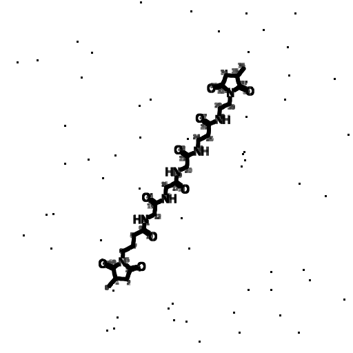 CC1CC(=O)N(CCCC(=O)NCC(=O)NCC(=O)NCC(=O)NCCC(=O)NCCN2C(=O)CC(C)C2=O)C1=O